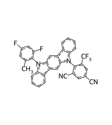 Cc1cc(F)cc(F)c1-n1c2ccccc2c2cc3c(cc21)c1ccccc1n3-c1c(C#N)cc(C#N)cc1C(F)(F)F